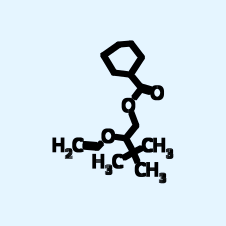 C=COC(COC(=O)C1CCCCC1)C(C)(C)C